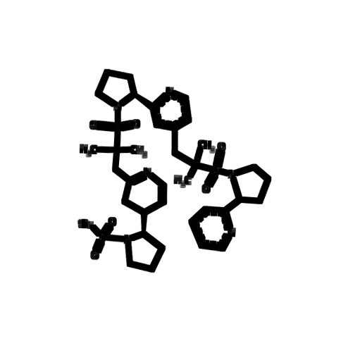 CC(C)(C)S(=O)(=O)N1CCC[C@@H]1C1C=CN=C(CC(C)(C)S(=O)(=O)N2CCC[C@H]2c2cc(CC(C)(C)S(=O)(=O)N3CCCC3c3ccccn3)ccn2)C1